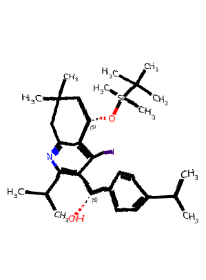 CC(C)c1ccc([C@H](O)c2c(C(C)C)nc3c(c2I)[C@@H](O[Si](C)(C)C(C)(C)C)CC(C)(C)C3)cc1